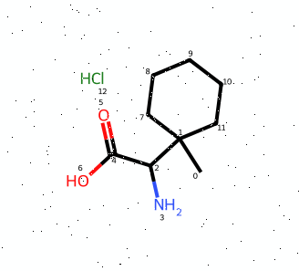 CC1(C(N)C(=O)O)CCCCC1.Cl